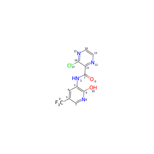 O=C(Nc1cc(C(F)(F)F)cnc1O)c1nccnc1Cl